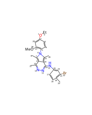 CCOc1ccc(-n2c(C)c3c(C)nnc(Nc4ccc(C)c(Br)c4)c3c2C)c(OC)c1